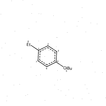 CCc1ccc(OCC(C)C)cc1